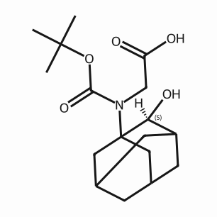 CC(C)(C)OC(=O)N(CC(=O)O)C12CC3CC(CC(C3)[C@@H]1O)C2